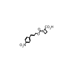 O=C(O)C1CCN1C(=O)OCC=Cc1ccc([N+](=O)[O-])cc1